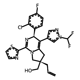 C=CC[C@]1(CO)CC2=C(c3cnn(C(F)F)c3)[C@H](c3ccc(F)cc3Cl)N=C(c3nccs3)N2C1